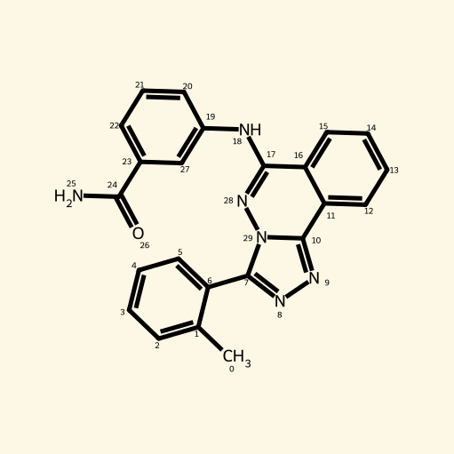 Cc1ccccc1-c1nnc2c3ccccc3c(Nc3cccc(C(N)=O)c3)nn12